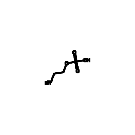 CCCCCOS(=O)(=O)O